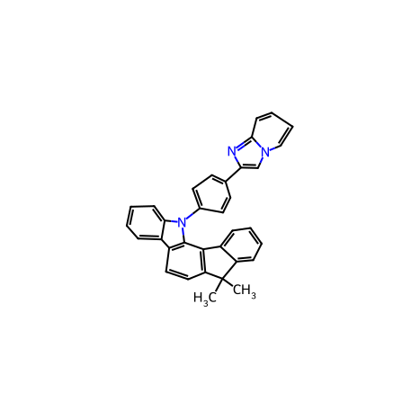 CC1(C)c2ccccc2-c2c1ccc1c3ccccc3n(-c3ccc(-c4cn5ccccc5n4)cc3)c21